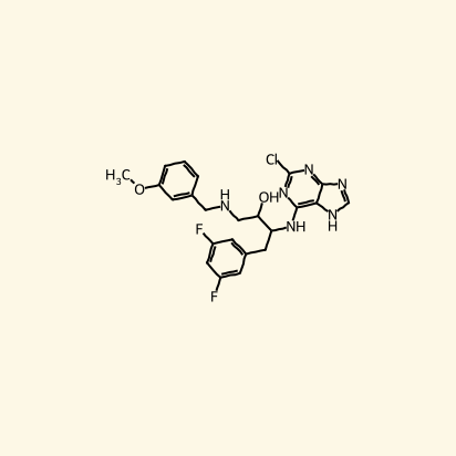 COc1cccc(CNCC(O)C(Cc2cc(F)cc(F)c2)Nc2nc(Cl)nc3nc[nH]c23)c1